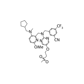 COc1ccc(N(C)CC2CCCC2)c(CN(Cc2cc(C#N)cc(C(F)(F)F)c2)c2ncc(OCCS(C)(=O)=O)cn2)n1